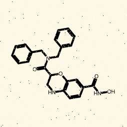 O=C(NO)c1ccc2c(c1)OC(C(=O)N(Cc1ccccc1)Cc1ccccc1)CN2